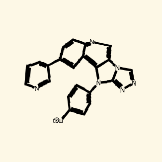 CC(C)(C)c1ccc(-n2c3c4cc(-c5cccnc5)ccc4ncc3n3cnnc23)cc1